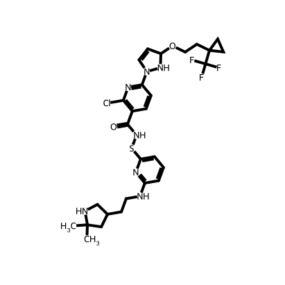 CC1(C)CC(CCNc2cccc(SNC(=O)c3ccc(N4C=CC(OCCC5(C(F)(F)F)CC5)N4)nc3Cl)n2)CN1